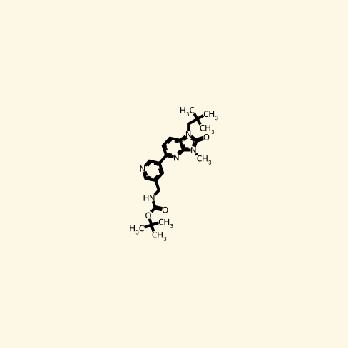 Cn1c(=O)n(CC(C)(C)C)c2ccc(-c3cncc(CNC(=O)OC(C)(C)C)c3)nc21